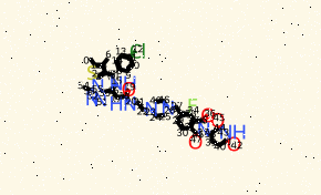 Cc1sc2c(c1C)[C@H](c1ccc(Cl)cc1)NC(CC(=O)NCCN1CCN(Cc3ccc4c(c3F)C(=O)N(C3CCC(=O)NC3=O)C4=O)CC1)c1nnc(C)n1-2